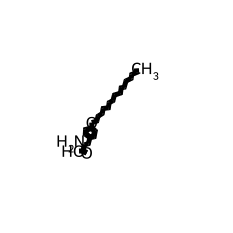 CCCCCCCCCCCCCCCCOc1ccc(CC(N)C(=O)O)cc1